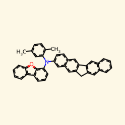 Cc1ccc(C)c(N(c2ccc3cc4c(cc3c2)Cc2cc3ccccc3cc2-4)c2cccc3c2oc2ccccc23)c1